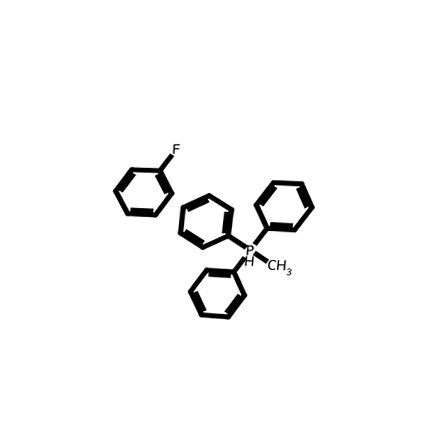 C[PH](c1ccccc1)(c1ccccc1)c1ccccc1.Fc1ccccc1